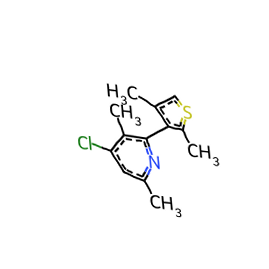 Cc1cc(Cl)c(C)c(-c2c(C)csc2C)n1